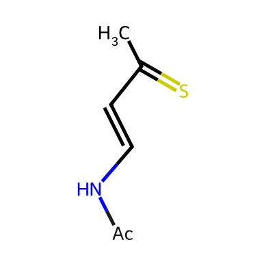 CC(=O)NC=CC(C)=S